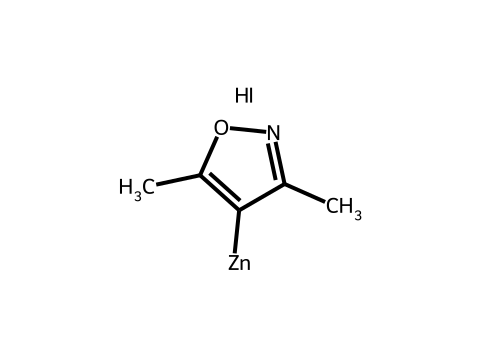 Cc1noc(C)[c]1[Zn].I